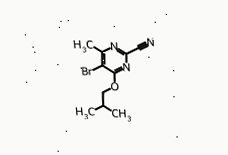 Cc1nc(C#N)nc(OCC(C)C)c1Br